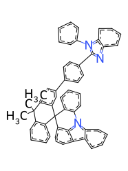 CC1(C)c2ccccc2C2(c3ccccc3-n3c4ccccc4c4cccc2c43)c2cc(-c3ccc(-c4nc5ccccc5n4-c4ccccc4)cc3)ccc21